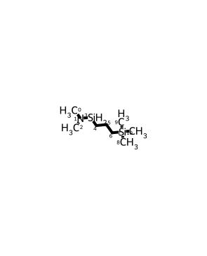 CN(C)[SiH2]CCC[Si](C)(C)C